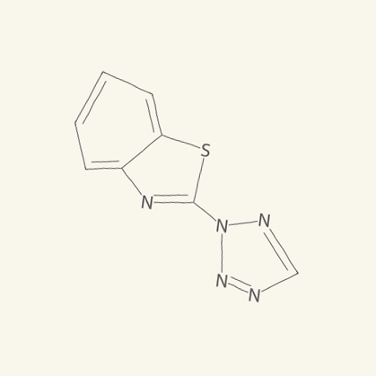 c1ccc2sc(-n3ncnn3)nc2c1